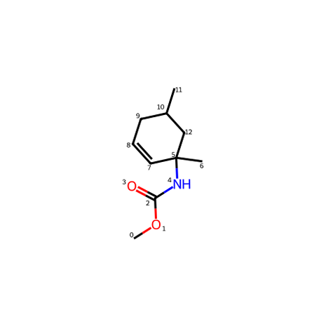 COC(=O)NC1(C)C=CCC(C)C1